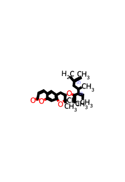 C=C/C(=C\C)CC(C)/C(=C/C)C(=CC)O[C@H]1Cc2cc3ccc(=O)oc3cc2OC1(C)C